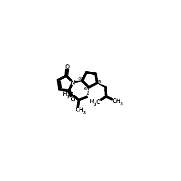 CC(C)C[C@@H]1CC[C@H](N2C(=O)C=CC2=O)[C@H]1CC(C)C